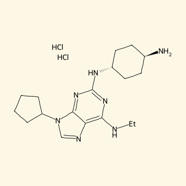 CCNc1nc(N[C@H]2CC[C@H](N)CC2)nc2c1ncn2C1CCCC1.Cl.Cl